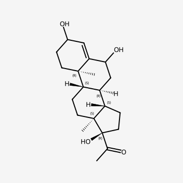 CC(=O)[C@@]1(O)CC[C@H]2[C@@H]3CC(O)C4=CC(O)CC[C@]4(C)[C@H]3CC[C@@]21C